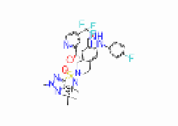 Cn1ncc(S(=O)(=N[Si](C)(C)C(C)(C)C)N2CCC3=CC(Nc4ccc(F)cc4)=C(C=N)C[C@]3(C(=O)c3cc(C(F)(F)F)ccn3)C2)n1